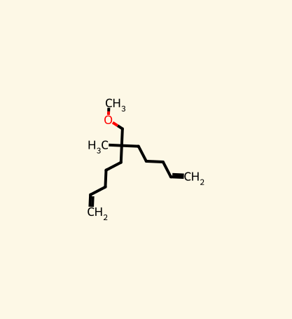 C=CCCCC(C)(CCCC=C)COC